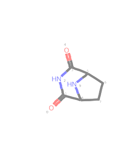 O=C1NC(=O)C2CCC1N2